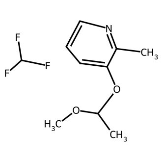 COC(C)Oc1cccnc1C.FC(F)F